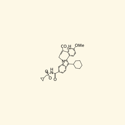 COc1ccc2c(c1)C(C(=O)O)=CCn1c-2c(C2CCCCC2)c2ccc(C(=O)NS(=O)(=O)C3CC3)cc21